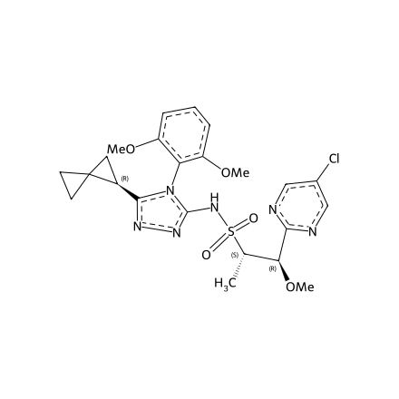 COc1cccc(OC)c1-n1c(NS(=O)(=O)[C@@H](C)[C@H](OC)c2ncc(Cl)cn2)nnc1[C@@H]1CC12CC2